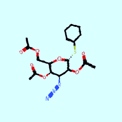 CC(=O)OCC1O[C@H](SC2CCCCC2)C(OC(C)=O)[C@@H](N=[N+]=[N-])[C@H]1OC(C)=O